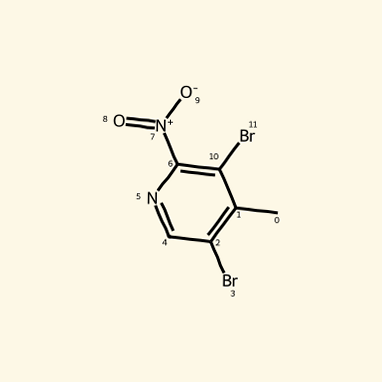 Cc1c(Br)cnc([N+](=O)[O-])c1Br